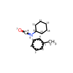 Cc1ccccc1.O=C=NC1CCCCC1